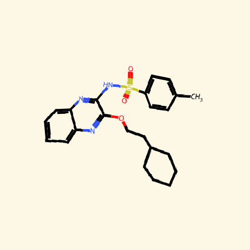 Cc1ccc(S(=O)(=O)Nc2nc3ccccc3nc2OCCC2CCCCC2)cc1